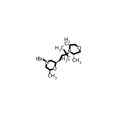 C[C@@H]1COC[C@H](C)N1C(C)(C)CC[C@@H]1CN(C(C)(C)C)C[C@H](C)O1